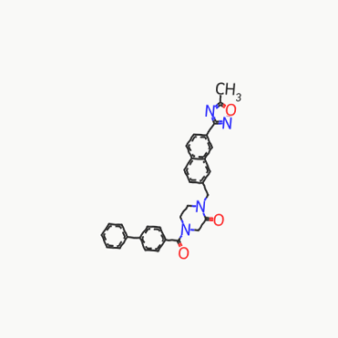 Cc1nc(-c2ccc3ccc(CN4CCN(C(=O)c5ccc(-c6ccccc6)cc5)CC4=O)cc3c2)no1